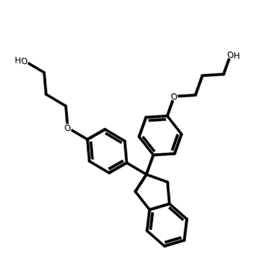 OCCCOc1ccc(C2(c3ccc(OCCCO)cc3)Cc3ccccc3C2)cc1